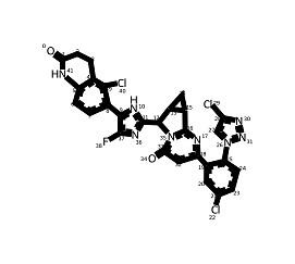 O=C1CCc2c(ccc(-c3[nH]c(C4C5CC5c5nc(-c6cc(Cl)ccc6-n6cc(Cl)nn6)cc(=O)n54)nc3F)c2Cl)N1